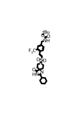 CC(C)(C)OC(=O)NCc1ccc(C=CS(=O)(=O)N2CCC3(CC2)N=C(C2CCCCC2)NC3=O)c(C(F)(F)F)c1